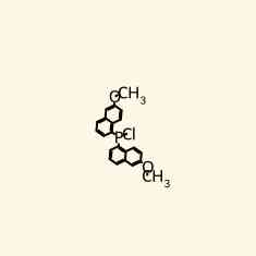 COc1ccc2c(P(Cl)c3cccc4cc(OC)ccc34)cccc2c1